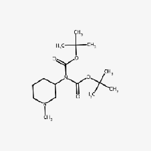 CN1CCCC(N(C(=O)OC(C)(C)C)C(=O)OC(C)(C)C)C1